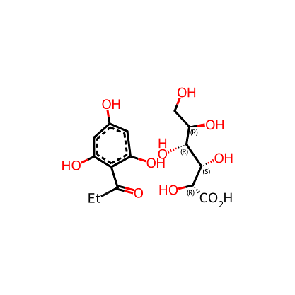 CCC(=O)c1c(O)cc(O)cc1O.O=C(O)[C@H](O)[C@@H](O)[C@H](O)[C@H](O)CO